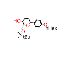 CCCCCCOc1ccc([C@@H]2CC[C@H](O)[C@@H](CO[Si](C)(C)C(C)(C)C)O2)cc1